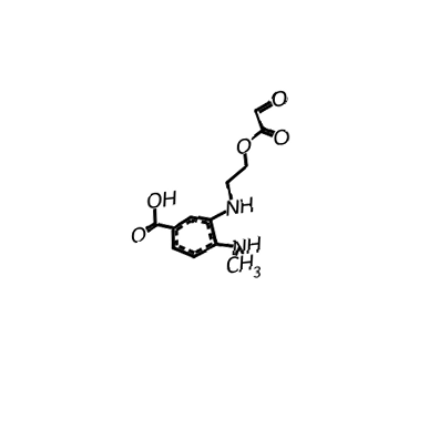 CNc1ccc(C(=O)O)cc1NCCOC(=O)C=O